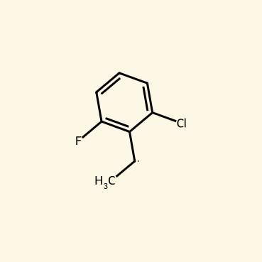 C[CH]c1c(F)cccc1Cl